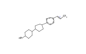 CCCC1CCC(C2CCC(c3ccc(/C=C/C(F)(F)F)cc3)CC2)CC1